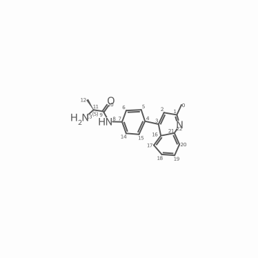 Cc1cc(-c2ccc(NC(=O)[C@H](C)N)cc2)c2ccccc2n1